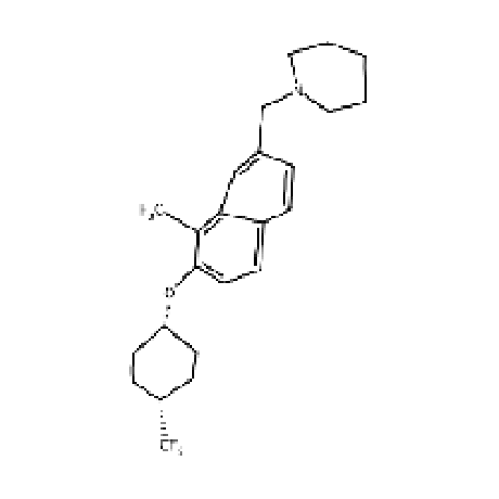 FC(F)(F)c1c(O[C@H]2CC[C@@H](C(F)(F)F)CC2)ccc2ccc(CN3CCCCC3)cc12